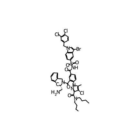 CCCCN(CCCC)C(=O)c1nn(-c2ccc(C(=O)NS(=O)(=O)c3ccc4c(c3)c(Br)cn4Cc3ccc(Cl)c(Cl)c3)cc2C(=O)N2Cc3ccccc3C[C@H]2CN)c(C)c1Cl